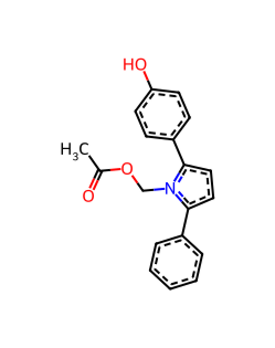 CC(=O)OCn1c(-c2ccccc2)ccc1-c1ccc(O)cc1